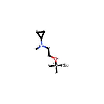 CN(CCO[Si](C)(C)C(C)(C)C)C1CC1